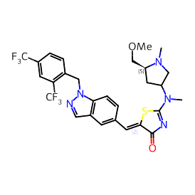 COC[C@@H]1CC(N(C)C2=NC(=O)/C(=C/c3ccc4c(cnn4Cc4ccc(C(F)(F)F)cc4C(F)(F)F)c3)S2)CN1C